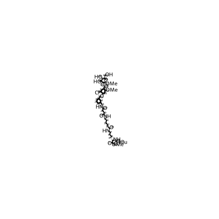 COC(=O)[C@H](CCCCNC(=O)CCCCCNC(=O)CCC(=O)NCc1cccc(COc2cc(OC)c(C(=O)O[C@H]3[C@@H](OC)O[C@H](CO)[C@@H](O)[C@@H]3O)cc2Cl)c1)NC(=O)OC(C)(C)C